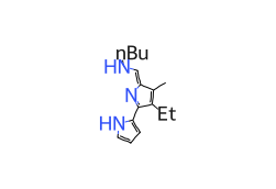 CCCCN/C=C1\N=C(c2ccc[nH]2)C(CC)=C1C